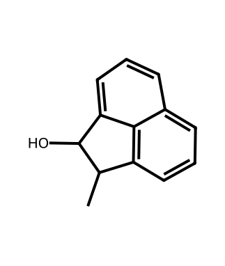 CC1c2cccc3cccc(c23)C1O